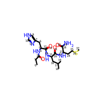 CCC(=O)NC(Cc1c[nH]cn1)C(=O)NC(CC(C)C)C(=O)NC(CCSC)C(N)=O